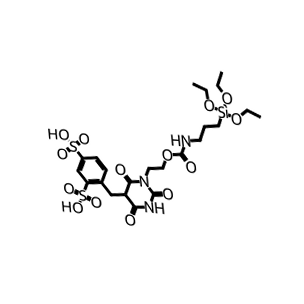 CCO[Si](CCCNC(=O)OCCN1C(=O)NC(=O)C(Cc2ccc(S(=O)(=O)O)cc2S(=O)(=O)O)C1=O)(OCC)OCC